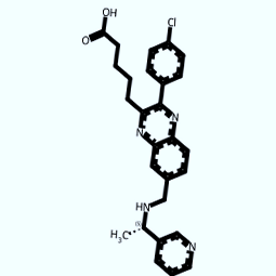 C[C@H](NCc1ccc2nc(-c3ccc(Cl)cc3)c(CCCCC(=O)O)nc2c1)c1cccnc1